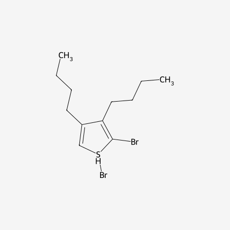 CCCCC1=C[SH](Br)C(Br)=C1CCCC